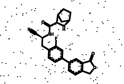 N#C[C@H](Cc1ccc(-c2ccc3c(c2)C(=O)OC3)cc1F)NC(=O)C1NC2CCC1C2